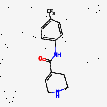 O=C(Nc1ccc(C(F)(F)F)cc1)C1=CCNCC1